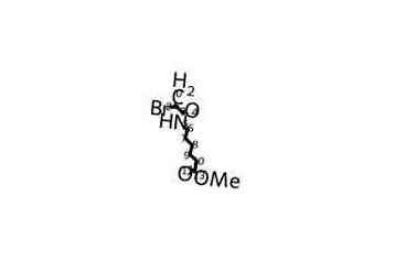 C=C(Br)C(=O)NCCCCCC(=O)OC